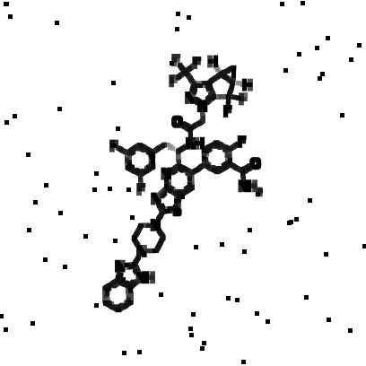 NC(=O)c1cc(-c2cc3sc(N4CCN(c5nc6ccccc6[nH]5)CC4)nc3nc2[C@H](Cc2cc(F)cc(F)c2)NC(=O)Cn2nc(C(F)(F)F)c3c2C(F)(F)[C@@H]2C[C@H]32)ccc1F